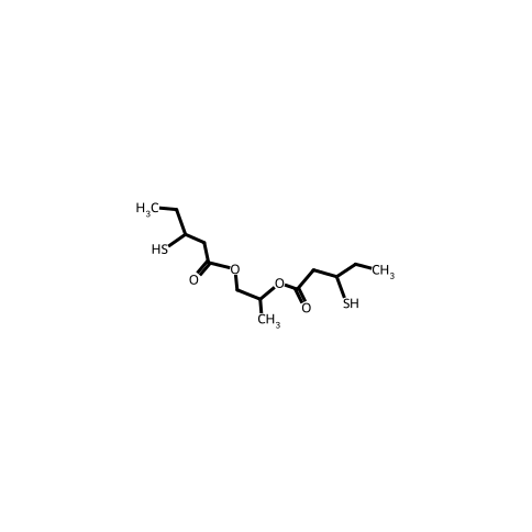 CCC(S)CC(=O)OCC(C)OC(=O)CC(S)CC